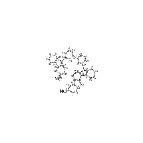 N#Cc1ccc2sc3c(ccc4c3c3ccccc3n4-c3cccc(-c4cccc(-n5c6ccccc6c6cc(C#N)ccc65)c4)c3)c2c1